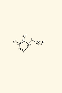 O=C(O)Cc1cccc(Cl)c1Cl